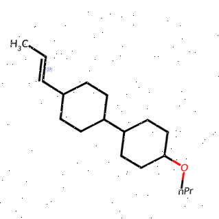 C/C=C/C1CCC(C2CCC(OCCC)CC2)CC1